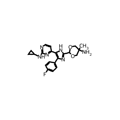 CC1(N)COC(c2nc(-c3ccc(F)cc3)c(-c3ccnc(NC4CC4)n3)[nH]2)OC1